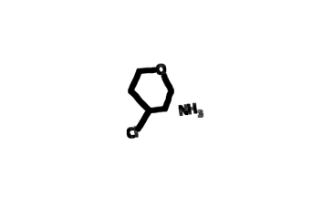 ClC1CCOCC1.N